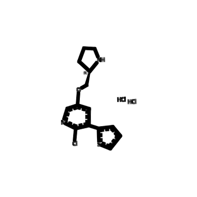 Cl.Cl.Clc1ncc(OC[C@H]2CCCN2)cc1-c1cccs1